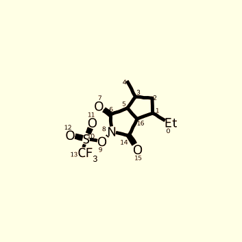 CCC1CC(C)C2C(=O)N(OS(=O)(=O)C(F)(F)F)C(=O)C12